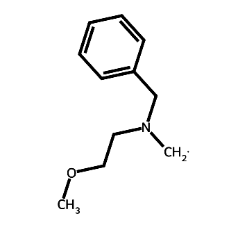 [CH2]N(CCOC)Cc1ccccc1